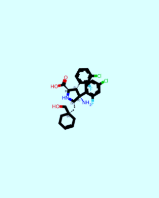 N[C@]1(c2ccc(Cl)cc2F)[C@H](C[C@]2(CO)CC=CCC2)N[C@@H](C(=O)O)[C@@H]1c1cccc(Cl)c1F